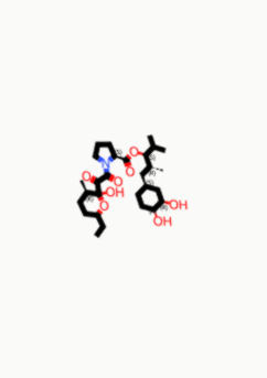 CCC1CC[C@@H](C)[C@](O)(C(=O)C(=O)N2CCC[C@H]2C(=O)O[C@@H](C(C)C)[C@H](C)C[C@@H]2CC[C@@H](O)[C@H](O)C2)O1